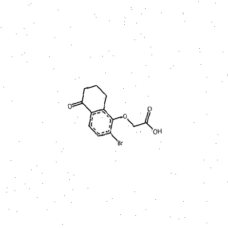 O=C(O)COc1c(Br)ccc2c1CCCC2=O